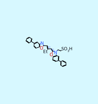 CCC(/C=C1\Oc2ccc(-c3ccccc3)cc2N1CCS(=O)(=O)O)=C\c1nc2cc(-c3ccccc3)ccc2o1